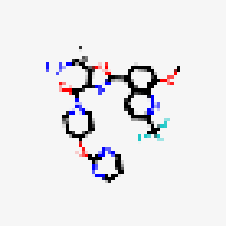 COc1ccc(-c2nc(C(=O)N3CCC(Oc4ncccn4)CC3)c([C@H](C)N)o2)c2ccc(C(F)(F)F)nc12